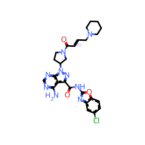 Nc1ncnc2c1c(C(=O)Nc1nc3cc(Cl)ccc3o1)nn2C1CCN(C(=O)/C=C/CN2CCCCC2)C1